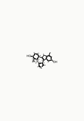 Cc1cc(O)cc2c1CC(c1ccc(O)c(F)c1)=C2c1cscc1N